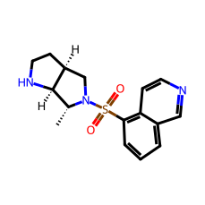 C[C@@H]1[C@H]2NCC[C@H]2CN1S(=O)(=O)c1cccc2cnccc12